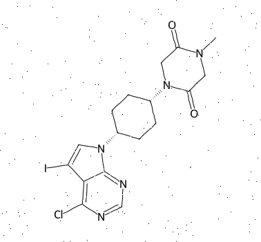 CN1CC(=O)N([C@H]2CC[C@@H](n3cc(I)c4c(Cl)ncnc43)CC2)CC1=O